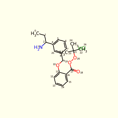 CCC(N)c1cccc(COc2ccccc2C(=O)OOC(C)(C)C)c1.Cl